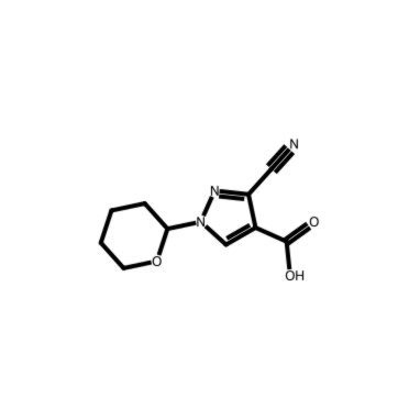 N#Cc1nn(C2CCCCO2)cc1C(=O)O